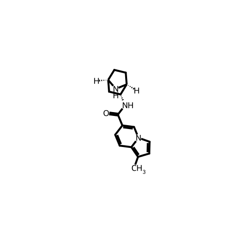 Cc1ccn2cc(C(=O)N[C@@H]3C[C@H]4CC[C@@H]3N4)ccc12